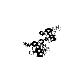 CCC(=O)Oc1c(C(Nc2cc(CCC(=O)Oc3c(C(Nc4ccccn4)c4cccc(N)c4Cl)ccc4cccnc34)ccn2)c2cccc(N=[N+]=[N-])c2Cl)cc(Cl)c2cccnc12